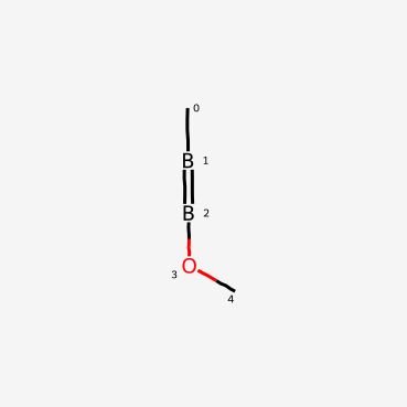 CB=BOC